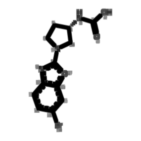 O=C(O)N[C@H]1CCN(c2nc3ccc(Br)cc3o2)C1